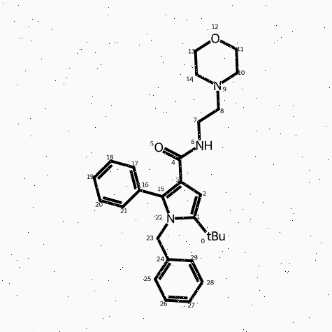 CC(C)(C)c1cc(C(=O)NCCN2CCOCC2)c(-c2ccccc2)n1Cc1ccccc1